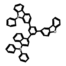 c1ccc(N(c2ccccc2)c2ccc(-c3cc(-c4ccc5oc6ccccc6c5c4)cc(-c4ccc5c6ccccc6n(-c6ccccc6)c5c4)c3)c3ccccc23)cc1